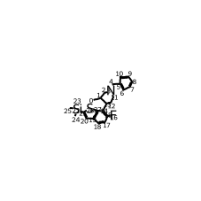 CC1CN(Cc2ccccc2)CCC1c1c(F)ccc2cc([Si](C)(C)C)sc12